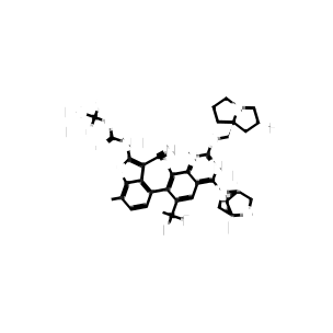 CC(C)(C)OC(=O)Nc1sc2c(F)ccc(-c3c(C(F)(F)F)cc4c(N5C[C@H]6C[C@@H]5CO6)nc(OC[C@@]56CCCN5C[C@H](F)C6)nc4c3F)c2c1C#N